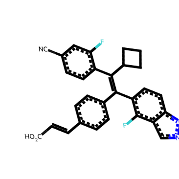 N#Cc1ccc(C(=C(c2ccc(C=CC(=O)O)cc2)c2ccc3[nH]ncc3c2F)C2CCC2)c(F)c1